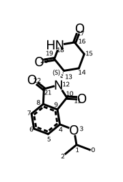 CC(C)Oc1cccc2c1C(=O)N([C@H]1CCC(=O)NC1=O)C2=O